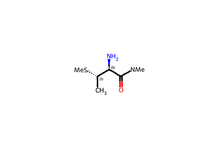 CNC(=O)[C@H](N)[C@H](C)SC